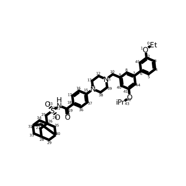 CCOc1cccc(-c2cc(CN3CCN(c4ccc(C(=O)NS(=O)(=O)CC56CC7CC(CC(C7)C5)C6)cc4)CC3)cc(OC(C)C)c2)c1